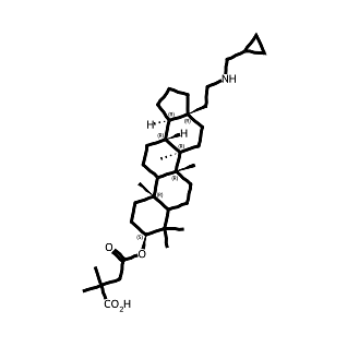 CC(C)(CC(=O)O[C@H]1CC[C@@]2(C)C(CC[C@]3(C)C2CC[C@@H]2[C@H]4CCC[C@]4(CCNCC4CC4)CC[C@]23C)C1(C)C)C(=O)O